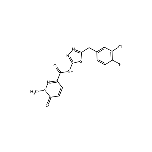 Cn1nc(C(=O)Nc2nnc(Cc3ccc(F)c(Cl)c3)s2)ccc1=O